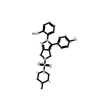 COc1ccccc1-n1nc2c(c1-c1ccc(Cl)cc1)CN(S(=O)(=O)N1CCC(C)CC1)C2